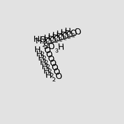 O.O.O.O.O.O.O.O.O.O.O.O.O.O.O.O=S(=O)(O)O